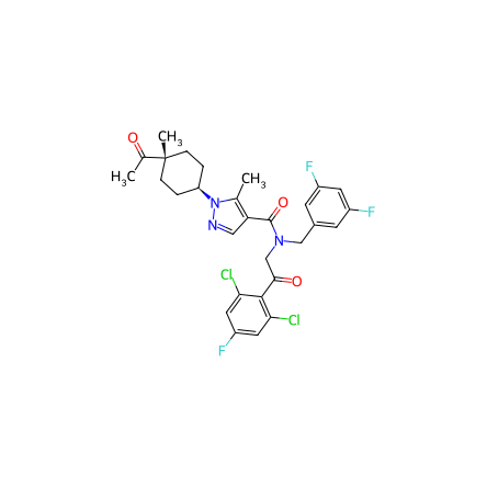 Cc1c(C(=O)N(CC(=O)c2c(Cl)cc(F)cc2Cl)Cc2cc(F)cc(F)c2)cnn1[C@H]1CC[C@](C)(C(C)=O)CC1